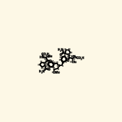 COCCN(Cc1ccc([C@]2(C(N)=O)CCCN2C(=O)[C@@H](NC(=O)O)C(C)(C)C)cc1)Cc1ccc([C@]2(C(N)=O)CCCN2C(=O)[C@@H](NC(=O)O)C(C)(C)C)cc1